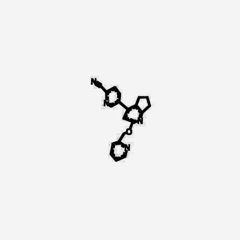 N#Cc1ccc(-c2cc(OCc3ccccn3)nc3c2CCC3)cn1